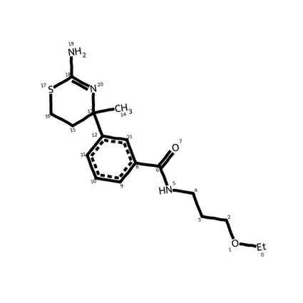 CCOCCCNC(=O)c1cccc(C2(C)CCSC(N)=N2)c1